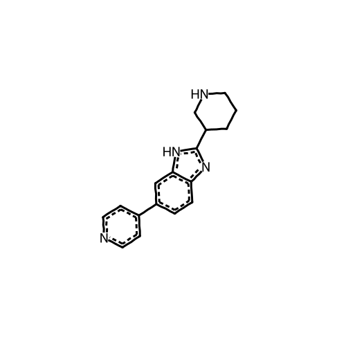 c1cc(-c2ccc3nc(C4CCCNC4)[nH]c3c2)ccn1